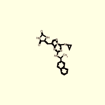 CC(Nc1nc(NC2CC2)n2ncc(/C=C3\NC(=O)NC3=O)c2n1)c1ccc2ccccc2c1